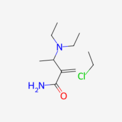 C=C(C(N)=O)C(C)N(CC)CC.CCCl